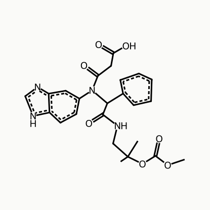 COC(=O)OC(C)(C)CNC(=O)C(c1ccccc1)N(C(=O)CC(=O)O)c1ccc2[nH]cnc2c1